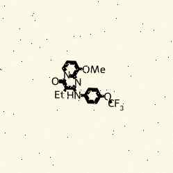 CCc1c(Nc2ccc(OC(F)(F)F)cc2)nc2c(OC)cccn2c1=O